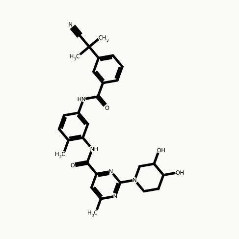 Cc1cc(C(=O)Nc2cc(NC(=O)c3cccc(C(C)(C)C#N)c3)ccc2C)nc(N2CCC(O)C(O)C2)n1